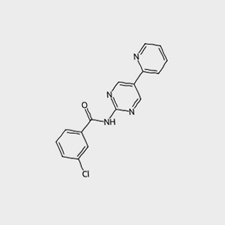 O=C(Nc1ncc(-c2ccccn2)cn1)c1cccc(Cl)c1